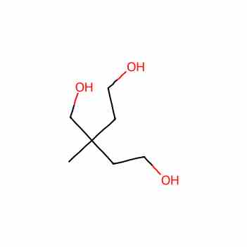 CC(CO)(CCO)CCO